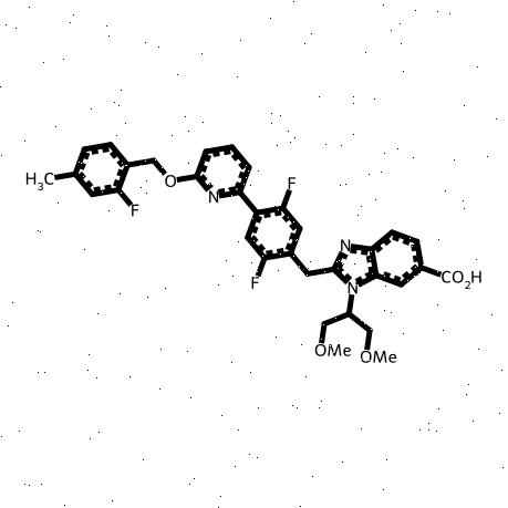 COCC(COC)n1c(Cc2cc(F)c(-c3cccc(OCc4ccc(C)cc4F)n3)cc2F)nc2ccc(C(=O)O)cc21